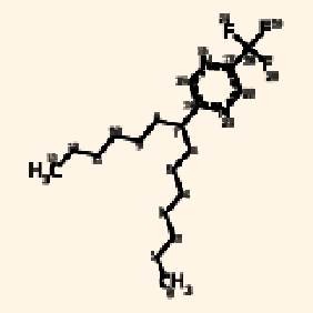 CCCCCCCC(CCCCCC)c1cnc(C(F)(F)F)cn1